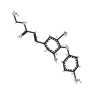 CCOC(=O)/C=C/c1cc(Br)c(Oc2ccc(N)cc2)c(Br)c1